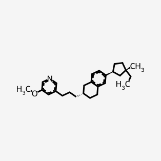 CC[C@@]1(C)CC[C@H](c2ccc3c(c2)CC[C@H](CCCc2cncc(OC)c2)C3)C1